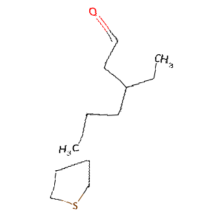 C1CCSC1.CCCC(CC)CC=O